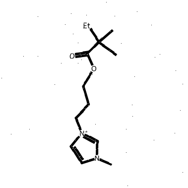 CCC(C)(C)C(=O)OCCC[n+]1ccn(C)c1